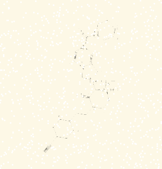 C#CC1CCC(CCC2CC[N+]([O-])(C(=O)O)C(N3CC4=CN(C(=O)N5CCOCC5)C=CN4C3)C2=O)CC1